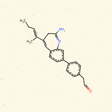 CC/C=C(\C)C1=Cc2ccc(-c3ccc(CC=O)cc3)cc2N=C(N)C1